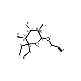 C=CCOC1OC(CC)(CC)[C@@H](C)[C@H](C)[C@H]1C